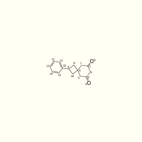 O=C1CC(=O)CC2(C1)CC(c1ccccc1)C2